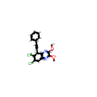 COc1nc2cc(Cl)c(Cl)c(C#Cc3ccccc3)c2nc1OC